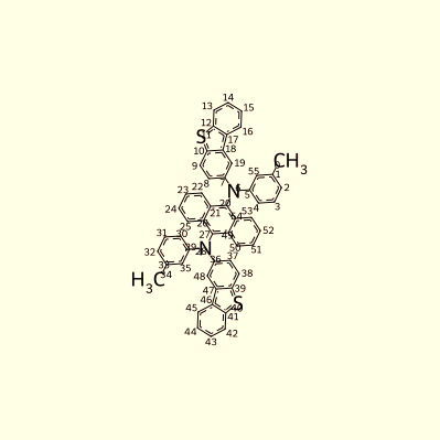 Cc1cccc(N(c2ccc3sc4ccccc4c3c2)c2c3ccccc3c(N(c3cccc(C)c3)c3ccc4sc5ccccc5c4c3)c3ccccc23)c1